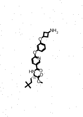 COC(=O)[C@H](CCC(C)(C)C)NC(=O)c1ccc(Oc2cccc(OC3CC(N)C3)c2)nc1